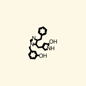 Oc1cccc(CN2C=NC(Cc3ccccc3)C2CC2=CC(O)NC2)c1